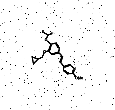 COc1ccc(/C=C/c2ccc(OC(F)F)c(OCC3CC3)c2)cn1